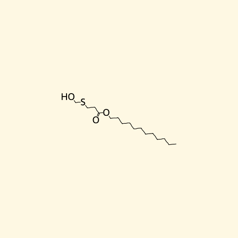 CCCCCCCCCCCCOC(=O)CCSCO